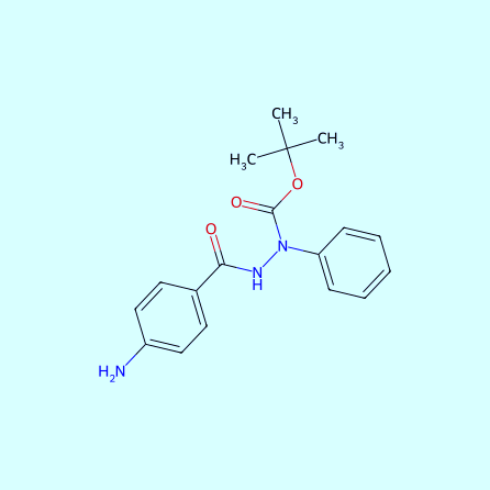 CC(C)(C)OC(=O)N(NC(=O)c1ccc(N)cc1)c1ccccc1